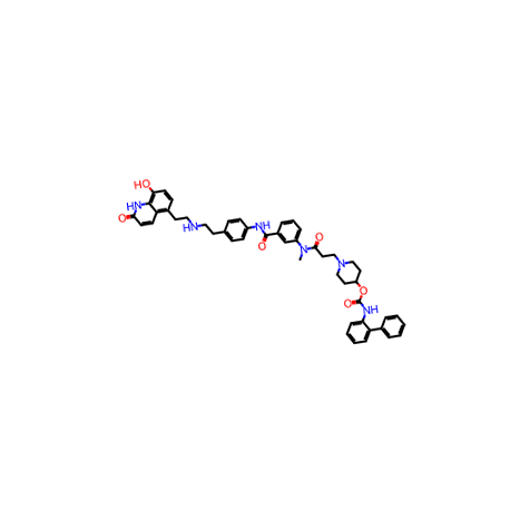 CN(C(=O)CCN1CCC(OC(=O)Nc2ccccc2-c2ccccc2)CC1)c1cccc(C(=O)Nc2ccc(CCNCCc3ccc(O)c4[nH]c(=O)ccc34)cc2)c1